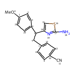 COc1ccc(C(Cc2ccc(C#N)cc2)c2csc(N)n2)cc1